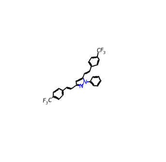 FC(F)(F)c1ccc(C=Cc2cc(C=Cc3ccc(C(F)(F)F)cc3)n(-c3ccccc3)n2)cc1